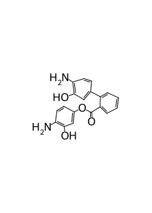 Nc1ccc(OC(=O)c2ccccc2-c2ccc(N)c(O)c2)cc1O